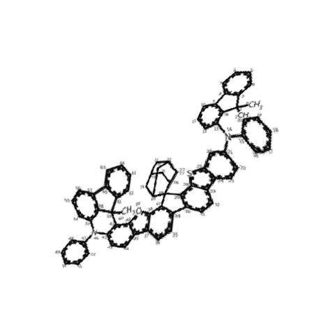 CC1(C)c2ccccc2-c2cccc(N(c3ccccc3)c3ccc4c(c3)sc3c5c(ccc34)-c3ccc4c(oc6c7c(ccc64)N(c4ccccc4)c4cccc6c4C7(C)c4ccccc4-6)c3C53C4CC5CC(C4)CC3C5)c21